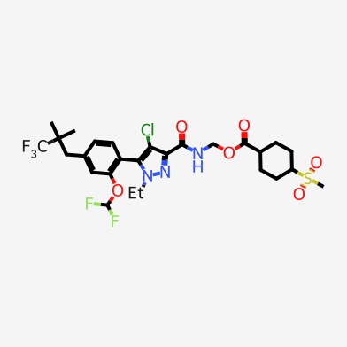 CCn1nc(C(=O)NCOC(=O)C2CCC(S(C)(=O)=O)CC2)c(Cl)c1-c1ccc(CC(C)(C)C(F)(F)F)cc1OC(F)F